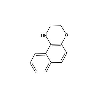 c1ccc2c3c(ccc2c1)OCCN3